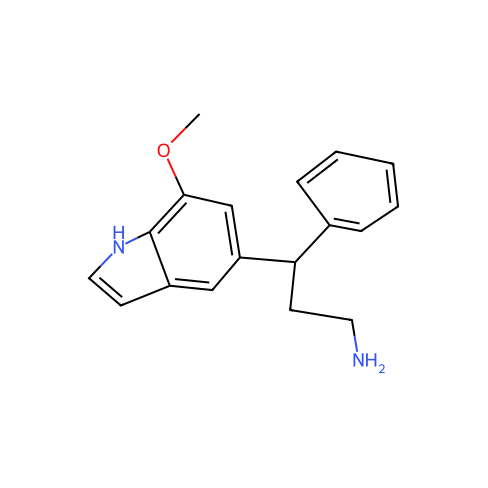 COc1cc(C(CCN)c2ccccc2)cc2cc[nH]c12